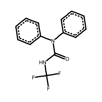 O=C(NC(F)(F)F)N(c1ccccc1)c1ccccc1